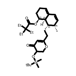 CCC(CC)(CC)C(=O)O[C@H]1CCC=C2C=C[C@H](C)[C@H](CCC3=CC(=O)C(O[Si](C)(C)C(C)(C)C)CO3)[C@H]21